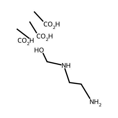 CC(=O)O.CC(=O)O.CC(=O)O.NCCNCO